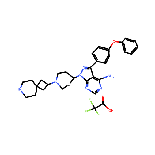 Nc1ncnc2c1c(-c1ccc(Oc3ccccc3)cc1)nn2C1CCN(C2CC3(CCNCC3)C2)CC1.O=C(O)C(F)(F)F